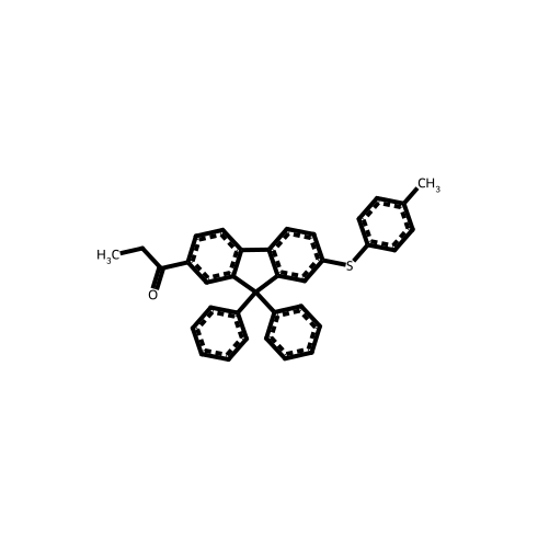 CCC(=O)c1ccc2c(c1)C(c1ccccc1)(c1ccccc1)c1cc(Sc3ccc(C)cc3)ccc1-2